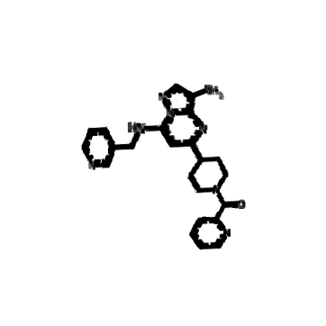 Bc1cnn2c(NCc3cccnc3)cc(C3CCN(C(=O)c4ccccn4)CC3)nc12